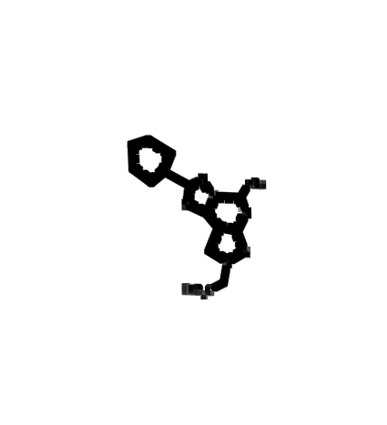 CCCCc1nc2nn(CC(=O)OCC)cc2c2nc(-c3ccccc3)nn12